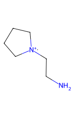 NCC[N+]1CCCC1